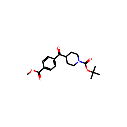 COC(=O)c1ccc(C(=O)C2CCN(C(=O)OC(C)(C)C)CC2)cc1